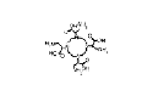 NCC(C(=O)O)N1CCN(C(CN)C(=O)O)CCN(C(CN)C(=O)O)CCN(C(CN)C(=O)O)CC1